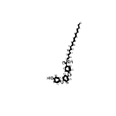 CCCCCCCCCCCCCCCCCCNC(=O)c1ccc(Oc2ccc(Oc3ccc(O)cc3)cc2)cc1